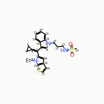 CCn1c(C(=C2CC2)c2cn(CCCNS(C)(=O)=O)c3ccccc23)cc2ccsc21